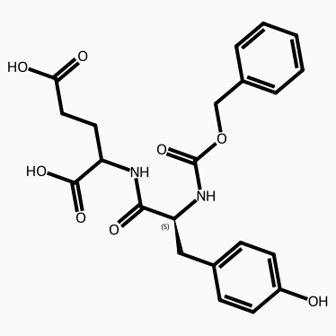 O=C(O)CCC(NC(=O)[C@H](Cc1ccc(O)cc1)NC(=O)OCc1ccccc1)C(=O)O